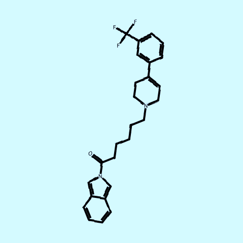 O=C(CCCCCN1CC=C(c2cccc(C(F)(F)F)c2)CC1)n1cc2ccccc2c1